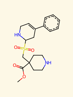 COC(=O)C1(CS(=O)(=O)C2CC(c3ccccc3)=CCN2)CCNCC1